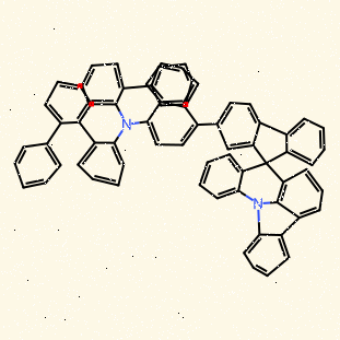 c1ccc(-c2ccccc2-c2ccccc2N(c2ccccc2-c2ccccc2)c2ccc(-c3ccc4c(c3)C3(c5ccccc5-4)c4ccccc4-n4c5ccccc5c5cccc3c54)c3ccccc23)cc1